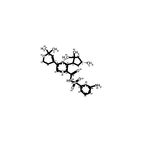 C[C@@H]1CC(c2nc(C3=CC(C)(C)OCC3)ccc2C(=O)NS(=O)(=O)c2cccc(N)n2)C(C)(C)C1